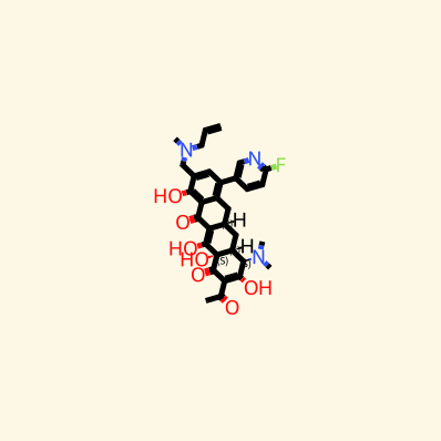 C=CCN(C)Cc1cc(-c2ccc(F)nc2)c2c(c1O)C(=O)C1=C(O)[C@]3(O)C(=O)C(C(C)=O)=C(O)[C@@H](N(C)C)[C@@H]3C[C@@H]1C2